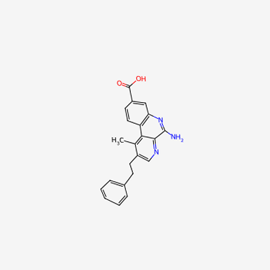 Cc1c(CCc2ccccc2)cnc2c(N)nc3cc(C(=O)O)ccc3c12